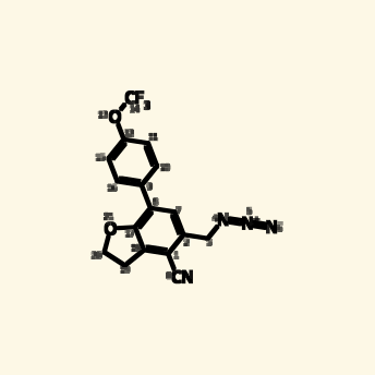 N#Cc1c(CN=[N+]=[N-])cc(-c2ccc(OC(F)(F)F)cc2)c2c1CCO2